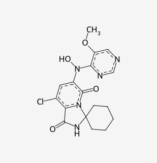 COc1cncnc1N(O)c1cc(Cl)c2n(c1=O)C1(CCCCC1)NC2=O